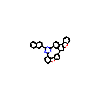 C1=CC2Oc3cc(-c4ccc5oc6cccc(-c7nc(-c8ccccc8)nc(-c8ccc9ccccc9c8)n7)c6c5c4)ccc3C2C=C1